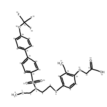 CCCN(CCSc1ccc(OCC(=O)O)c(C)c1)S(=O)(=O)c1ccc(-c2ccc(OC(F)(F)F)cc2)cc1